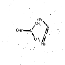 CCCN=C=N.CN(C)C=O